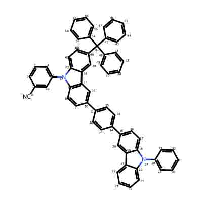 N#Cc1cccc(-n2c3ccc(-c4ccc(-c5ccc6c(c5)c5ccccc5n6-c5ccccc5)cc4)cc3c3cc(C(c4ccccc4)(c4ccccc4)c4ccccc4)ccc32)c1